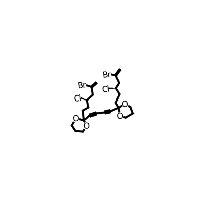 C=C(Br)C[C@H](Cl)CCC1(C#CC#CC2(CC[C@@H](Cl)CC(=C)Br)OCCCO2)OCCCO1